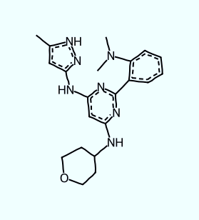 Cc1cc(Nc2cc(NC3CCOCC3)nc(-c3ccccc3N(C)C)n2)n[nH]1